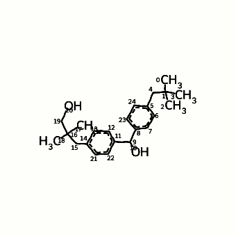 CC(C)(C)Cc1ccc(C(O)c2ccc(CC(C)(C)CO)cc2)cc1